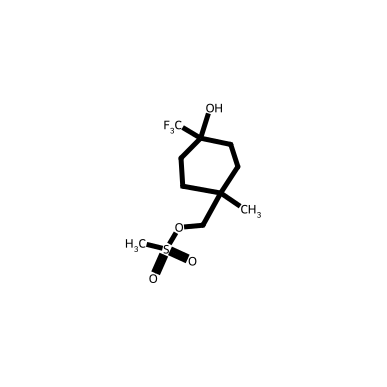 CC1(COS(C)(=O)=O)CCC(O)(C(F)(F)F)CC1